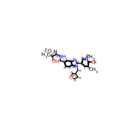 Cc1cc(-c2nc3cc(CN[C@H](C(=O)O)[C@@H](C)O)ccc3n2CC2CCOC2)cn(C)c1=O